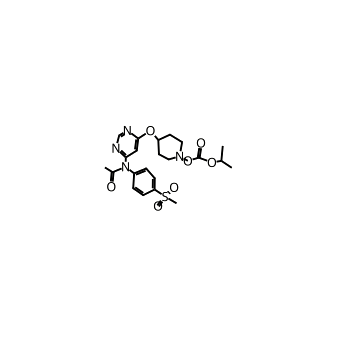 CC(=O)N(c1ccc(S(C)(=O)=O)cc1)c1cc(OC2CCN(OC(=O)OC(C)C)CC2)ncn1